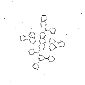 c1ccc(-c2cc(-c3ccccc3)cc(N(c3ccccc3)c3ccc4c(-c5ccc6c7c(cccc57)-c5ccccc5-6)c5cc(N(c6ccccc6)c6ccc7ccccc7c6)ccc5c(-c5ccc6c7c(cccc57)-c5ccccc5-6)c4c3)c2)cc1